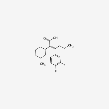 CCCC(=C(C(=O)O)C1CCCC(C)C1)c1ccc(F)c(F)c1